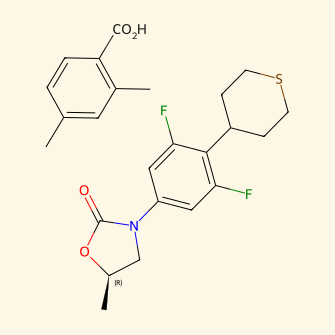 C[C@@H]1CN(c2cc(F)c(C3CCSCC3)c(F)c2)C(=O)O1.Cc1ccc(C(=O)O)c(C)c1